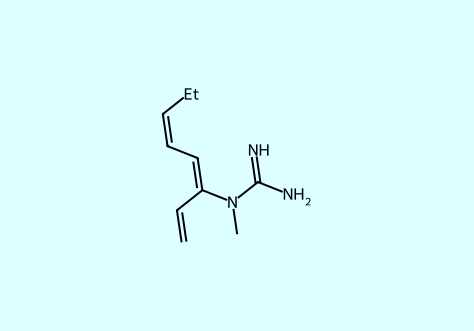 C=C/C(=C\C=C/CC)N(C)C(=N)N